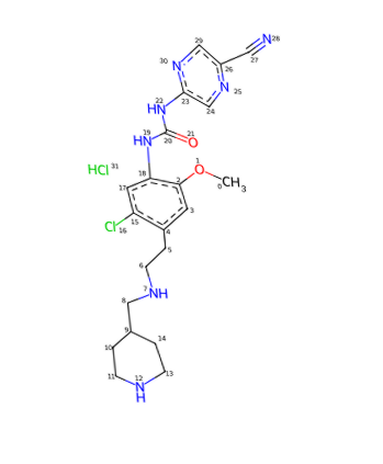 COc1cc(CCNCC2CCNCC2)c(Cl)cc1NC(=O)Nc1cnc(C#N)cn1.Cl